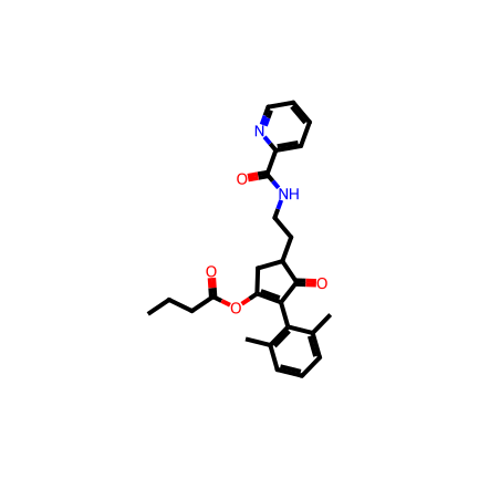 CCCC(=O)OC1=C(c2c(C)cccc2C)C(=O)C(CCNC(=O)c2ccccn2)C1